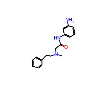 CN(CCc1ccccc1)CC(=O)Nc1cccc(N)c1